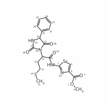 COC(=O)c1csc(NC(=O)C(CCSC)N2C(=O)NC(c3ccccc3)C2=O)n1